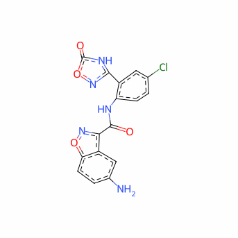 Nc1ccc2onc(C(=O)Nc3ccc(Cl)cc3-c3noc(=O)[nH]3)c2c1